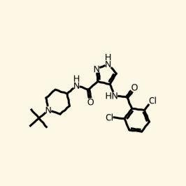 CC(C)(C)N1CCC(NC(=O)c2n[nH]cc2NC(=O)c2c(Cl)cccc2Cl)CC1